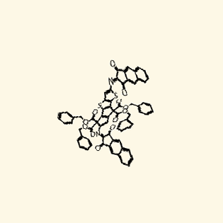 O=C(OCc1ccccc1)C1(C(=O)OCc2ccccc2)C(N=c2c(=O)c3cc4ccccc4cc3c2=O)=CC2=C1c1sc3cc(N=c4c(=O)c5cc6ccccc6cc5c4=O)sc3c1C2(C(=O)OCc1ccccc1)C(=O)OCc1ccccc1